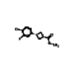 COC(=O)[C@H]1C[C@H](c2ccc(Cl)c(F)c2)C1